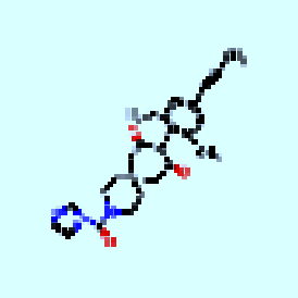 CC#Cc1cc(C)c(C2C(=O)CC3(CCN(C(=O)n4ccnc4)CC3)CC2=O)c(C)c1